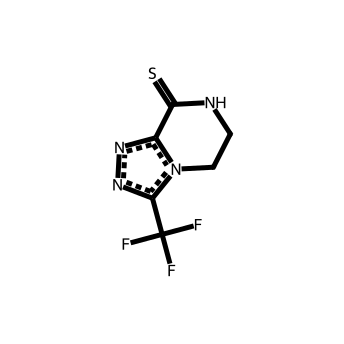 FC(F)(F)c1nnc2n1CCNC2=S